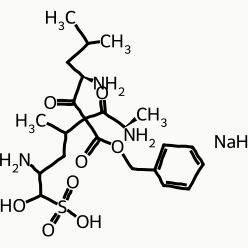 CC(C)C[C@@H](N)C(=O)C(C(=O)OCc1ccccc1)(C(=O)[C@@H](C)N)C(C)CC(N)C(O)S(=O)(=O)O.[NaH]